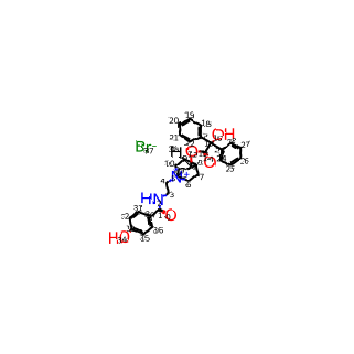 O=C(NCC[N+]12CCC(CC1)[C@@H](OC(=O)C(O)(c1ccccc1)c1ccccc1)C2)c1ccc(O)cc1.[Br-]